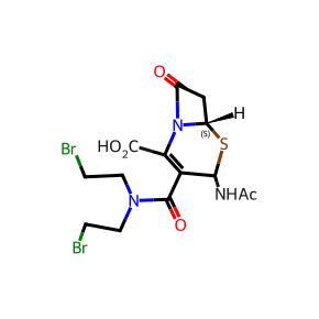 CC(=O)NC1S[C@H]2CC(=O)N2C(C(=O)O)=C1C(=O)N(CCBr)CCBr